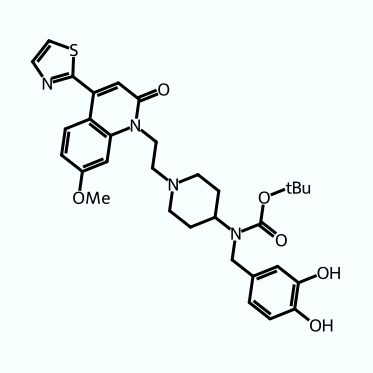 COc1ccc2c(-c3nccs3)cc(=O)n(CCN3CCC(N(Cc4ccc(O)c(O)c4)C(=O)OC(C)(C)C)CC3)c2c1